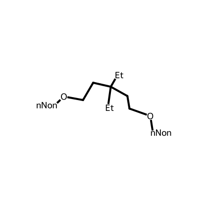 CCCCCCCCCOCCC(CC)(CC)CCOCCCCCCCCC